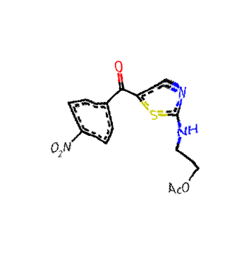 CC(=O)OCCNc1ncc(C(=O)c2ccc([N+](=O)[O-])cc2)s1